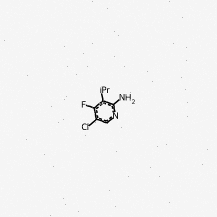 CC(C)c1c(N)ncc(Cl)c1F